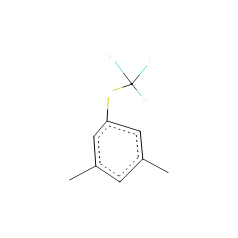 Cc1[c]c(C)cc(SC(F)(F)F)c1